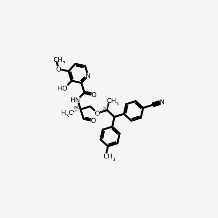 COc1ccnc(C(=O)N[C@](C)(C=O)CO[C@@H](C)C(c2ccc(C)cc2)c2ccc(C#N)cc2)c1O